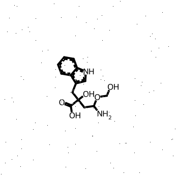 NC(CC(O)(Cc1c[nH]c2ccccc12)C(=O)O)OCO